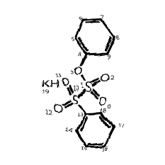 O=S(=O)(Oc1ccccc1)S(=O)(=O)c1ccccc1.[KH]